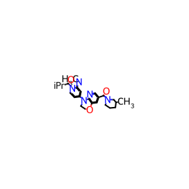 C/N=c1/cc(N2CCOc3cc(C(=O)N4CCCC(C)C4)cnc32)ccn1C(=O)C(C)C